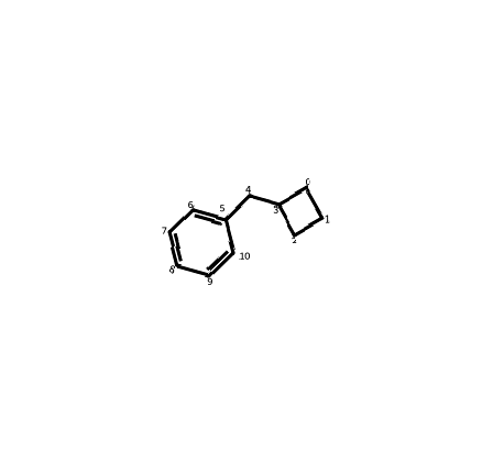 [CH]1CCC1Cc1ccccc1